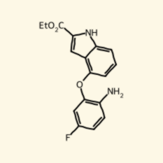 CCOC(=O)c1cc2c(Oc3cc(F)ccc3N)cccc2[nH]1